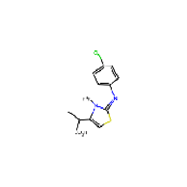 CCCn1c(C(C)C(=O)O)cs/c1=N/c1ccc(Cl)cc1